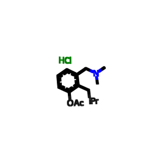 CC(=O)Oc1cccc(CN(C)C)c1CC(C)C.Cl